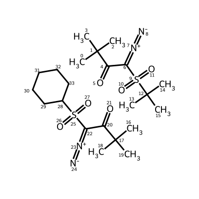 CC(C)(C)C(=O)C(=[N+]=[N-])S(=O)(=O)C(C)(C)C.CC(C)(C)C(=O)C(=[N+]=[N-])S(=O)(=O)C1CCCCC1